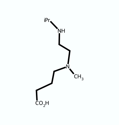 CC(C)NCCN(C)CCCC(=O)O